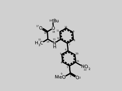 COC(=O)c1ccc(-c2ccccc2NC(C)C(=O)OC(C)(C)C)cc1[N+](=O)[O-]